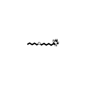 CCCCCOCCCCCC1=NN=N[N]1